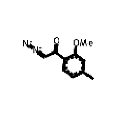 COc1cc(C)ccc1C(=O)C=[N+]=[N-]